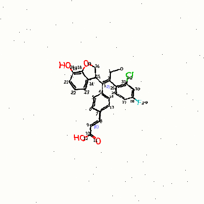 CC/C(=C(/c1ccc(/C=C/C(=O)O)cc1)C1COc2c(O)cccc21)c1ccc(F)cc1Cl